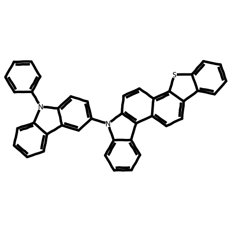 c1ccc(-n2c3ccccc3c3cc(-n4c5ccccc5c5c6ccc7c8ccccc8sc7c6ccc54)ccc32)cc1